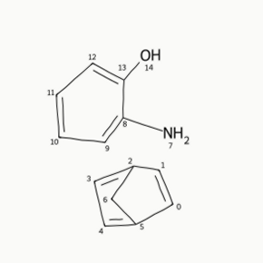 C1=CC2=CC=C1C2.Nc1ccccc1O